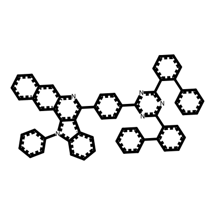 c1ccc(-c2ccccc2-c2nc(-c3ccc(-c4nc5cc6ccccc6cc5c5c4c4ccccc4n5-c4ccccc4)cc3)nc(-c3ccccc3-c3ccccc3)n2)cc1